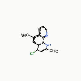 COc1cc2c(c3ncccc13)NC(C=O)=CC2Cl